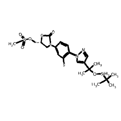 CC(C)(C)[SiH2]OC(C)(C)c1cnn(-c2ccc(N3C[C@H](COS(C)(=O)=O)OC3=O)cc2F)c1